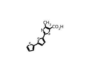 Cc1nc(-c2ccc(-c3cccs3)s2)sc1C(=O)O